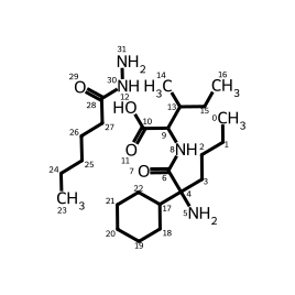 CCCCC(N)(C(=O)NC(C(=O)O)C(C)CC)C1CCCCC1.CCCCCC(=O)NN